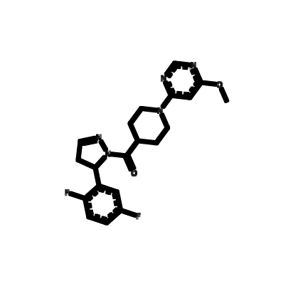 COc1cc(N2CCC(C(=O)N3N=CCC3c3cc(F)ccc3F)CC2)ncn1